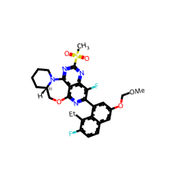 CCc1c(F)ccc2cc(OCOC)cc(-c3nc4c5c(nc(S(C)(=O)=O)nc5c3F)N3CCCC[C@H]3CO4)c12